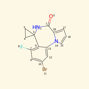 O=C1NC2(CC2)c2c(F)cc(Br)cc2-n2cccc21